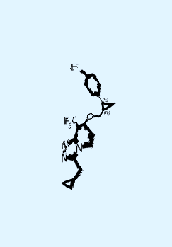 Fc1ccc([C@@H]2C[C@H]2COc2ccn3c(CC4CC4)nnc3c2C(F)(F)F)cc1